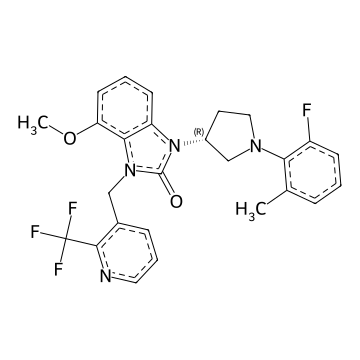 COc1cccc2c1n(Cc1cccnc1C(F)(F)F)c(=O)n2[C@@H]1CCN(c2c(C)cccc2F)C1